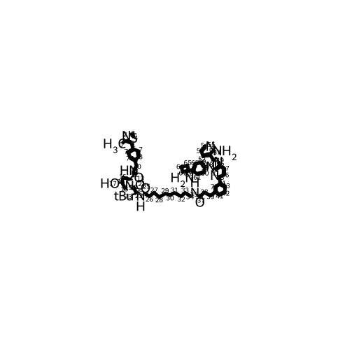 Cc1ncsc1-c1ccc(CNC(=O)[C@@H]2C[C@@H](O)CN2C(=O)[C@@H](NC(=O)CCCCCCCCCNC(=O)CCc2cccc(-c3ccc4nc(-c5cccnc5N)n(-c5ccc(C6(N)CCC6)cc5)c4n3)c2)C(C)(C)C)cc1